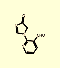 O=Cc1cccnc1N1C=NC(=O)C1